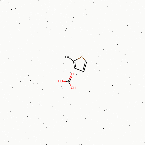 O=C(O)O.[Cu][c]1cccs1